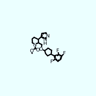 COC(=O)N1CCCC(c2ccn[nH]2)C1COC1CCC(c2c(F)ccc(F)c2F)CC1